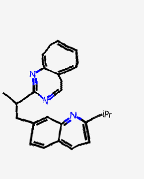 CC(C)c1ccc2ccc(CC(C)c3ncc4ccccc4n3)cc2n1